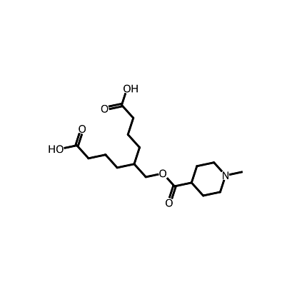 CN1CCC(C(=O)OCC(CCCC(=O)O)CCCC(=O)O)CC1